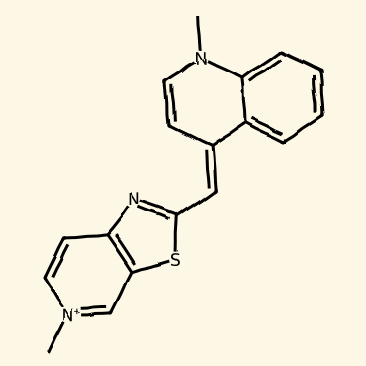 CN1C=C/C(=C\c2nc3cc[n+](C)cc3s2)c2ccccc21